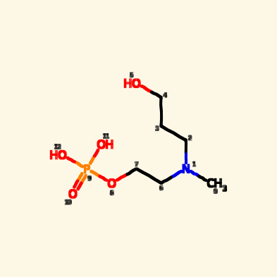 CN(CCCO)CCOP(=O)(O)O